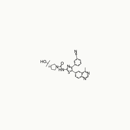 Cc1ncnc2ccc(-c3sc(NC(=O)N4CC[C@H](C(C)(C)O)C4)nc3-c3cccc(C#N)c3)cc12